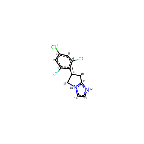 Fc1cc(Cl)cc(F)c1[C@H]1Cc2nccn2C1